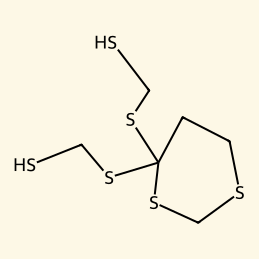 SCSC1(SCS)CCSCS1